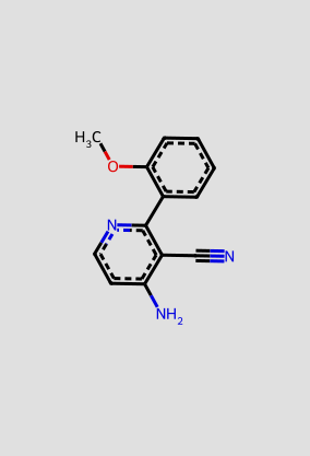 COc1ccccc1-c1nccc(N)c1C#N